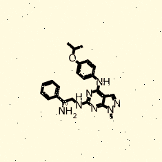 CC(C)Oc1ccc(Nc2nc(NC[C@H](N)c3ccccc3)nc3c2cnn3C)cc1